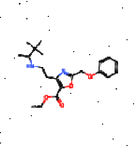 CCOC(=O)c1oc(COc2ccccc2)nc1CCNC(C)C(C)(C)C